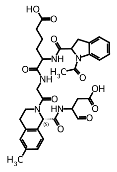 CC(=O)N1c2ccccc2CC1C(=O)NC(CCCC(=O)O)C(=O)NCC(=O)N1CCc2cc(C)ccc2[C@H]1C(=O)NC(C=O)CC(=O)O